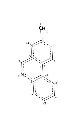 Cc1ccc2c(cnc3ccccc32)n1